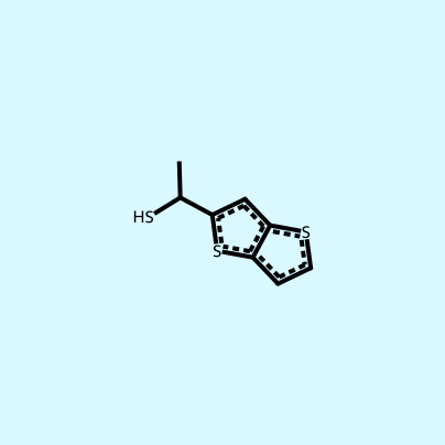 CC(S)c1cc2sccc2s1